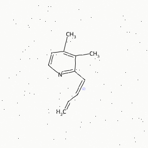 C=C/C=C\c1nccc(C)c1C